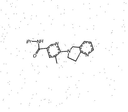 Cc1cc(C(=O)NC(C)C)cnc1N1CCc2ncccc2C1